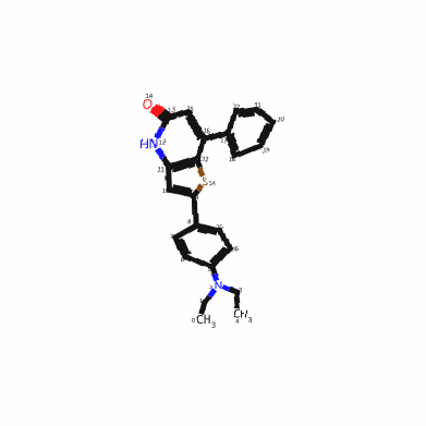 CCN(CC)c1ccc(-c2cc3[nH]c(=O)cc(-c4ccccc4)c3s2)cc1